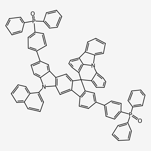 O=P(c1ccccc1)(c1ccccc1)c1ccc(-c2ccc3c(c2)C2(c4cc5c6cc(-c7ccc(P(=O)(c8ccccc8)c8ccccc8)cc7)ccc6n(-c6cccc7ccccc67)c5cc4-3)c3ccccc3-n3c4ccccc4c4cccc2c43)cc1